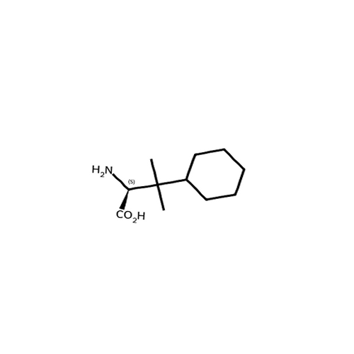 CC(C)(C1CCCCC1)[C@H](N)C(=O)O